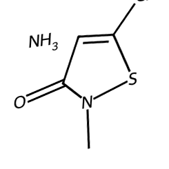 Cn1sc(Cl)cc1=O.N